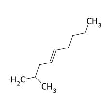 [CH2]C(C)CC=CCCCC